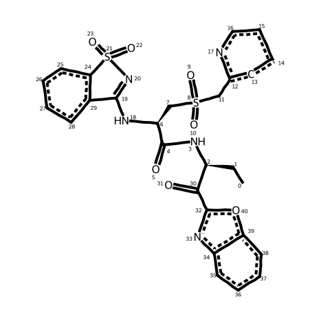 CC[C@H](NC(=O)[C@H](CS(=O)(=O)Cc1ccccn1)NC1=NS(=O)(=O)c2ccccc21)C(=O)c1nc2ccccc2o1